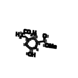 COC(=O)c1cc(O)cc(C)c1C(=O)O